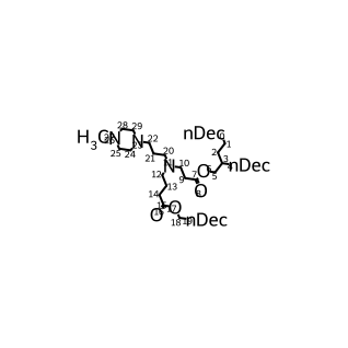 CCCCCCCCCCCCC(CCCCCCCCCC)COC(=O)CCN(CCCC(=O)OCCCCCCCCCCC)CCCN1CCN(C)CC1